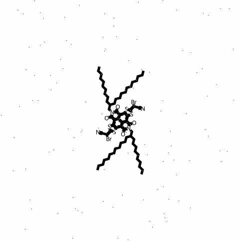 CCCCCCCCCCCCC(CCCCCCCCCC)Cn1c(=O)c2c3sc(=C(Br)C#N)sc3c3c(=O)n(CC(CCCCCCCCCC)CCCCCCCCCCCC)c(=O)c4c5sc(=C(Br)C#N)sc5c(c1=O)c2c34